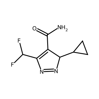 NC(=O)C1=C(C(F)F)N=NC1C1CC1